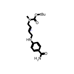 CN(C/C=C/CNc1ccc(C(N)=O)cc1)C(=O)OC(C)(C)C